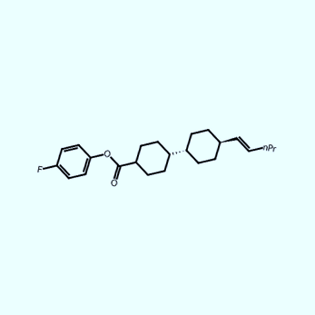 CCC/C=C/[C@H]1CC[C@H](C2CCC(C(=O)Oc3ccc(F)cc3)CC2)CC1